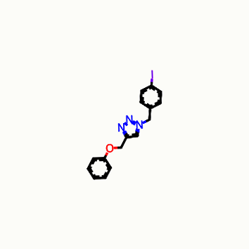 Ic1ccc(Cn2cc(COc3ccccc3)nn2)cc1